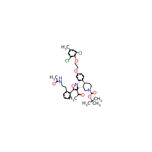 CC(=O)NCCc1ccccc1-c1onc([C@H]2CN(C(=O)OC(C)(C)C)CC[C@@H]2c2ccc(OCCOc3c(Cl)cc(C)cc3Cl)cc2)c1C(C)=O